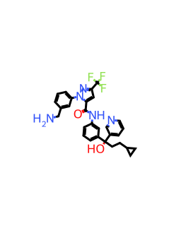 NCc1cccc(-n2nc(C(F)(F)F)cc2C(=O)Nc2cccc(C(O)(CCC3CC3)c3cccnc3)c2)c1